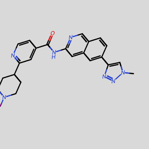 Cn1cc(-c2ccc3cnc(NC(=O)c4ccnc(C5CCN(I)CC5)c4)cc3c2)nn1